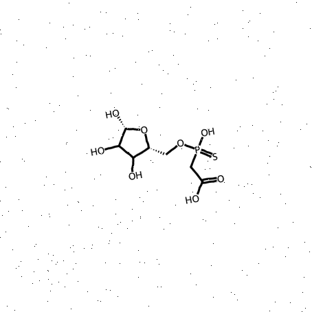 O=C(O)CP(O)(=S)OC[C@H]1O[C@@H](O)C(O)C1O